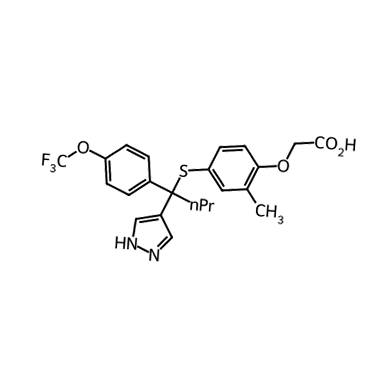 CCCC(Sc1ccc(OCC(=O)O)c(C)c1)(c1ccc(OC(F)(F)F)cc1)c1cn[nH]c1